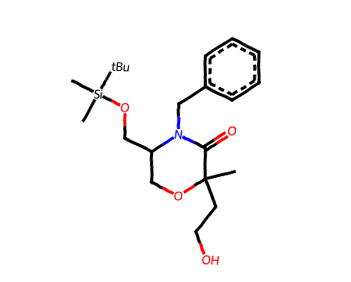 CC1(CCO)OCC(CO[Si](C)(C)C(C)(C)C)N(Cc2ccccc2)C1=O